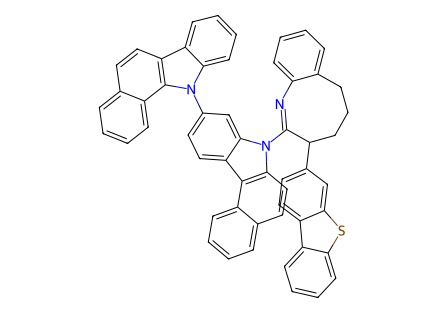 c1ccc2c(c1)CCCC(c1ccc3c(c1)sc1ccccc13)/C(n1c3cc(-n4c5ccccc5c5ccc6ccccc6c54)ccc3c3c4ccccc4ccc31)=N\2